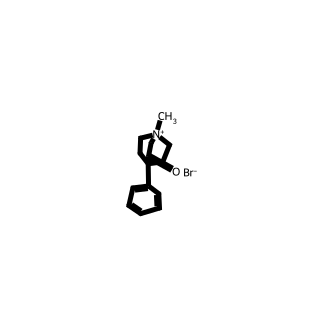 C[N+]12CCC(c3ccccc3)(CC1)C(=O)C2.[Br-]